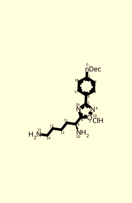 CCCCCCCCCCc1ccc(-c2noc([C@@H](N)CCCCN)n2)cc1.Cl